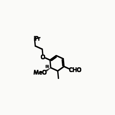 CO[C@@H]1C(OCCC(C)C)=CC=C(C=O)C1C